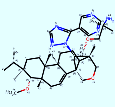 CC(C)[C@@H](C)[C@@]1(C)CC[C@]2(C)[C@H]3CC[C@@H]4[C@@]5(COC[C@@]4(C)[C@@H](OC[C@](C)(N)C(C)C)[C@H](n4ncnc4-c4cncnc4)C5)C3=CC[C@]2(C)[C@@H]1OC(=O)O